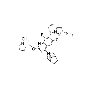 CN1CCC[C@H]1COc1nc(N2CC3CCC(C2)N3)c2cc(Cl)c(-c3cccc4cc(N)nn34)c(F)c2n1